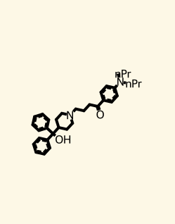 CCCN(CCC)c1ccc(C(=O)CCCN2CCC(C(O)(c3ccccc3)c3ccccc3)CC2)cc1